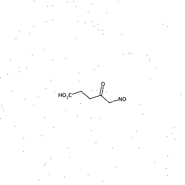 O=NCC(=O)CCC(=O)O